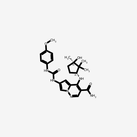 COc1ccc(NC(=O)Nc2cc3c(N[C@@H]4CC[C@@](C)(O)C4(C)C)c(C(N)=O)cnn3c2)cc1